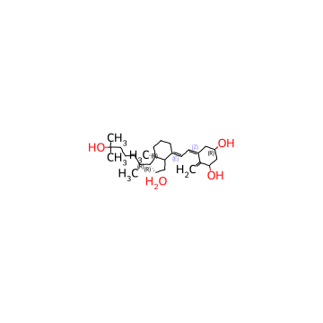 C=C1/C(=C\C=C2/CCC[C@@]3(C)C2CC[C@@H]3[C@H](C)CCCC(C)(C)O)C[C@@H](O)CC1O.O